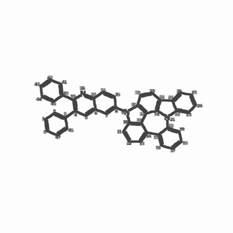 c1ccc(-c2cc3cc(-n4c5cccc6c7ccccc7n7c8ccccc8c8ccc4c(c65)c87)ccc3nc2-c2ccccc2)cc1